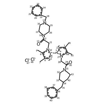 Cc1s[c+](-[c+]2sc(C)c(C)n2CC(=O)N2CCN(Cc3ccccc3)CC2)n(CC(=O)N2CCC(Cc3ccccc3)CC2)c1C.[Cl-].[Cl-]